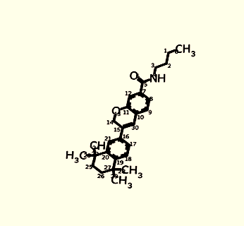 CCCCNC(=O)c1ccc2c(c1)OCC(c1ccc3c(c1)C(C)(C)CCC3(C)C)=C2